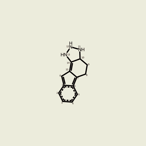 C1=c2ccccc2=C2CCC3NNNC3=C12